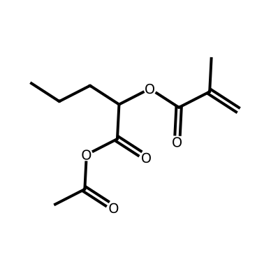 C=C(C)C(=O)OC(CCC)C(=O)OC(C)=O